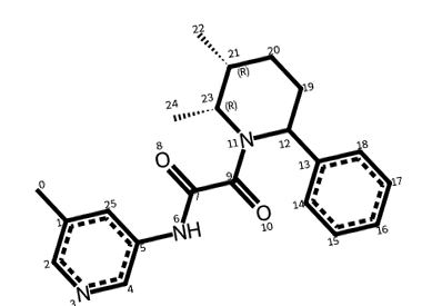 Cc1cncc(NC(=O)C(=O)N2C(c3ccccc3)CC[C@@H](C)[C@H]2C)c1